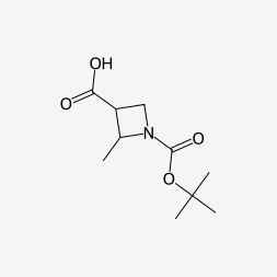 CC1C(C(=O)O)CN1C(=O)OC(C)(C)C